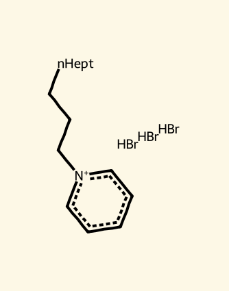 Br.Br.Br.CCCCCCCCCC[n+]1ccccc1